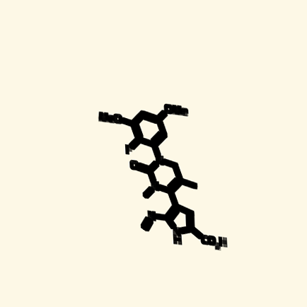 C=Nc1[nH]c(C(=O)O)cc1C1=C(C)CN(c2cc(OC)cc(OC)c2F)C(=O)N1C